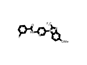 COc1ccc2c(c1)nc(C(F)(F)F)n2-c1ccc(NC(=O)c2cccc(I)c2)nc1